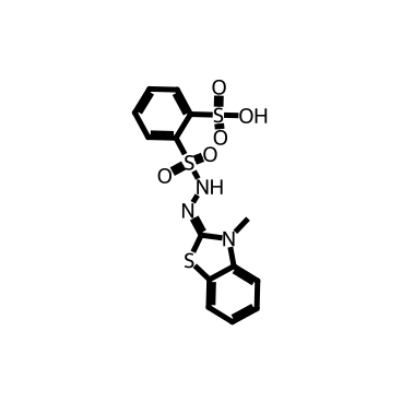 Cn1c(=NNS(=O)(=O)c2ccccc2S(=O)(=O)O)sc2ccccc21